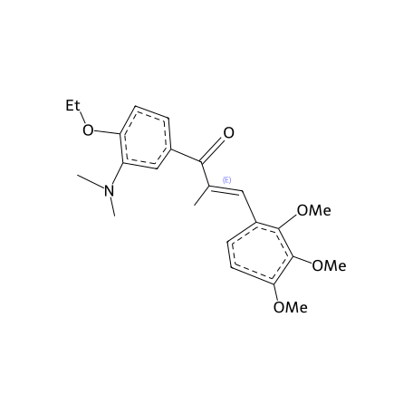 CCOc1ccc(C(=O)/C(C)=C/c2ccc(OC)c(OC)c2OC)cc1N(C)C